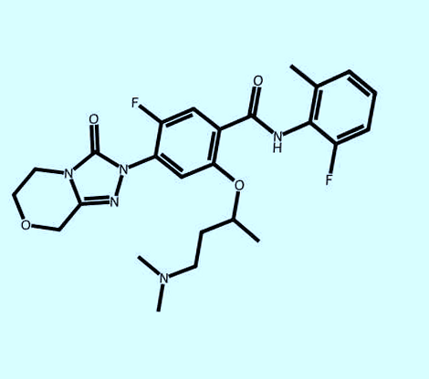 Cc1cccc(F)c1NC(=O)c1cc(F)c(-n2nc3n(c2=O)CCOC3)cc1OC(C)CCN(C)C